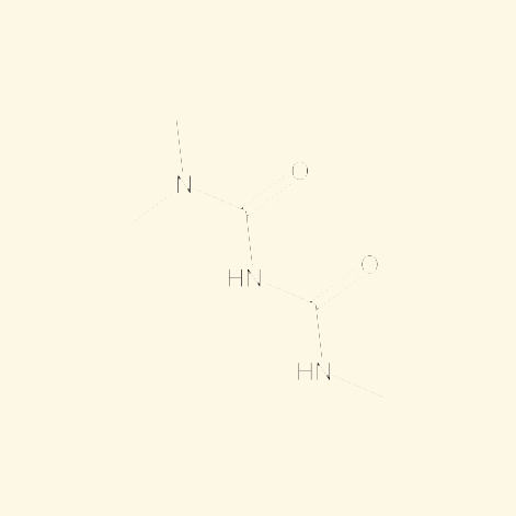 CNC(=O)NC(=O)N(C)C